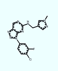 Cn1cc(CNc2ncc3nnn(-c4ccc(Cl)c(F)c4)c3n2)cn1